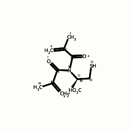 C=C(C)C(=O)N(C(=O)C(=C)C)[C@@H](CS)C(=O)O